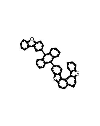 c1ccc2c(c1)oc1ccc(-c3c4ccccc4c(-c4ccc5c(c4)sc4ccc6ccc7sc8ccccc8c7c6c45)c4ccccc34)cc12